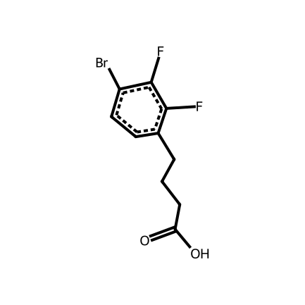 O=C(O)CCCc1ccc(Br)c(F)c1F